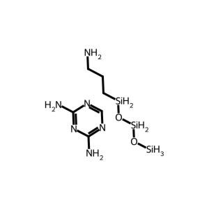 NCCC[SiH2]O[SiH2]O[SiH3].Nc1ncnc(N)n1